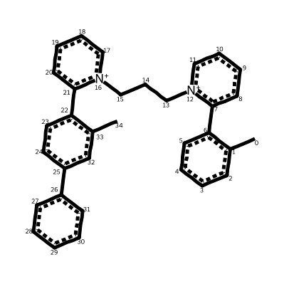 Cc1ccccc1-c1cccc[n+]1CCC[n+]1ccccc1-c1ccc(-c2ccccc2)cc1C